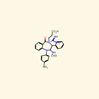 N=C(N)[N+]1(CCC(=O)O)C(=O)c2ccccc2N(c2ccc([N+](=O)[O-])cc2)C(NC=O)C1c1ccccc1